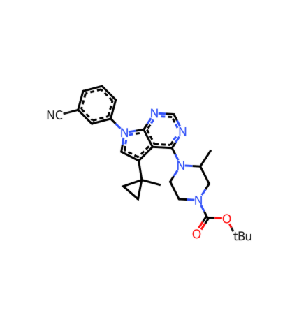 CC1CN(C(=O)OC(C)(C)C)CCN1c1ncnc2c1c(C1(C)CC1)cn2-c1cccc(C#N)c1